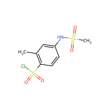 Cc1cc(NS(C)(=O)=O)ccc1S(=O)(=O)Cl